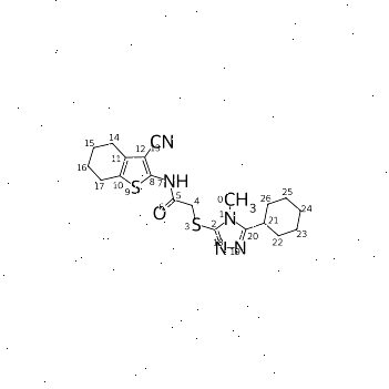 Cn1c(SCC(=O)Nc2sc3c(c2C#N)CCCC3)nnc1C1CCCCC1